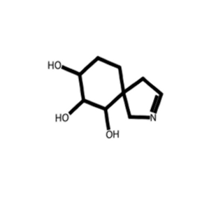 OC1CCC2(CC=NC2)C(O)C1O